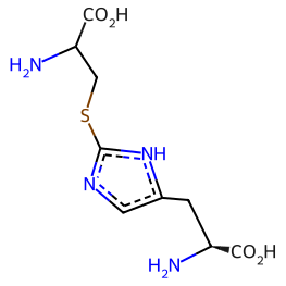 NC(CSc1ncc(C[C@H](N)C(=O)O)[nH]1)C(=O)O